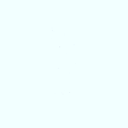 Cc1cc(OCCCS(C)(=O)=O)c(F)c(C)c1-c1cccc(C=O)c1